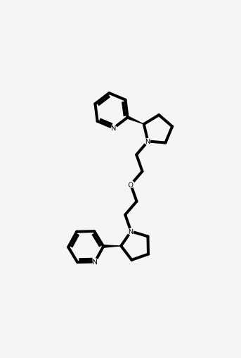 c1ccc([C@H]2CCCN2CCOCCN2CCC[C@H]2c2ccccn2)nc1